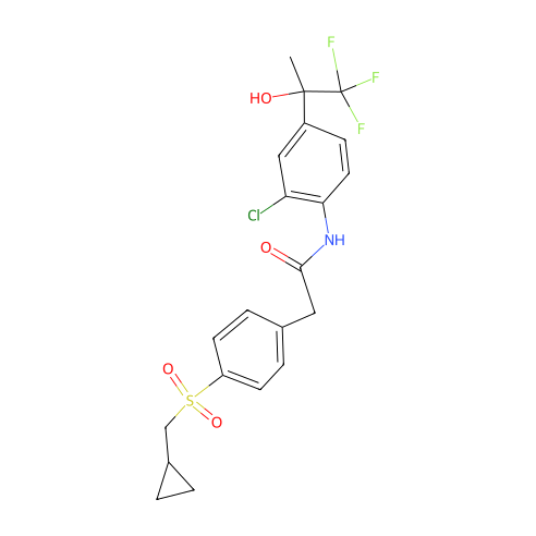 CC(O)(c1ccc(NC(=O)Cc2ccc(S(=O)(=O)CC3CC3)cc2)c(Cl)c1)C(F)(F)F